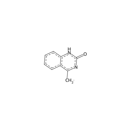 [CH2]c1nc(=O)[nH]c2ccccc12